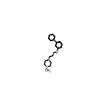 CN1CCN(CCCOc2[c]ccc(-c3ccccc3)c2)CC1